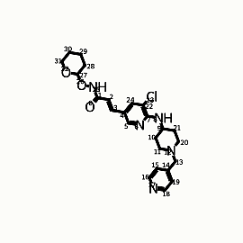 O=C(C=Cc1cnc(NC2CCN(Cc3ccncc3)CC2)c(Cl)c1)NOC1CCCCO1